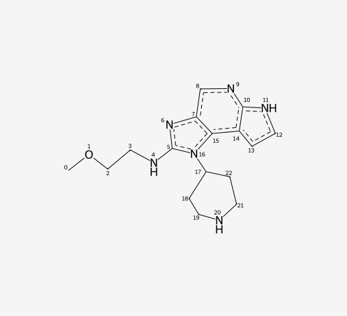 COCCNc1nc2cnc3[nH]ccc3c2n1C1CCNCC1